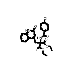 CCOC(=O)C(Cc1cc(=O)[nH]c2ccccc12)(NC(=O)c1ccc(Cl)cc1)C(=O)OCC